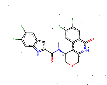 CN(C(=O)c1cc2cc(F)c(F)cc2[nH]1)[C@@H]1COCc2[nH]c(=O)c3cc(F)c(F)cc3c21